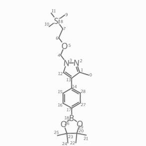 Cc1nn(COCC[Si](C)(C)C)cc1-c1ccc(B2OC(C)(C)C(C)(C)O2)cc1